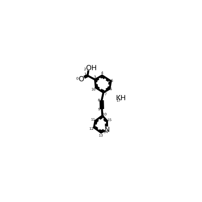 O=C(O)c1cccc(C#Cc2cccnc2)c1.[KH]